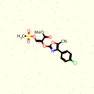 COC(=O)/C(=C\OS(C)(=O)=O)Oc1nc(-c2ccc(Cl)cc2)c(C#N)o1